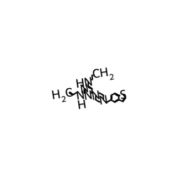 C=CCNc1cc(N2CCN(Cc3ccc4sccc4c3)CC2)nc(NCC=C)n1